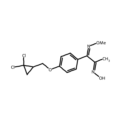 CON=C(C(C)=NO)c1ccc(OCC2CC2(Cl)Cl)cc1